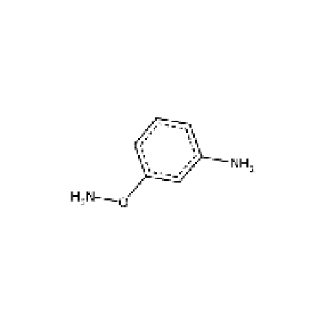 NOc1cccc(N)c1